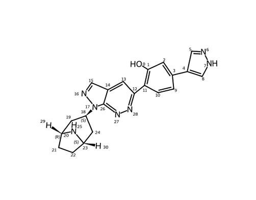 Oc1cc(-c2cn[nH]c2)ccc1-c1cc2cnn([C@@H]3C[C@H]4CC[C@@H](C3)N4)c2nn1